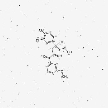 COc1cccc(C(=O)C(=N)CC(C)(CCO)c2ccc(Cl)c(Cl)c2)c1